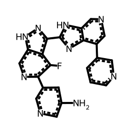 Nc1cncc(-c2ncc3[nH]nc(-c4nc5c(-c6cccnc6)cncc5[nH]4)c3c2F)c1